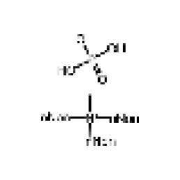 CCCCCCCCC[N+](C)(CCCCCCCCC)CCCCCCCCC.O=P([O-])(O)O